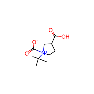 CC(C)(C)[N+]1(C(=O)[O-])CCC(C(=O)O)C1